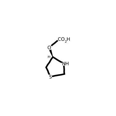 O=C(O)O[C@@H]1CSCN1